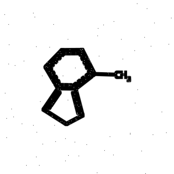 Cc1cccc2c1=CCC=2